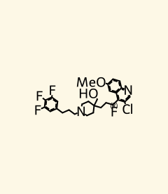 COc1ccc2ncc(Cl)c([C@H](F)CCC3(CO)CCN(CCCc4cc(F)c(F)c(F)c4)CC3)c2c1